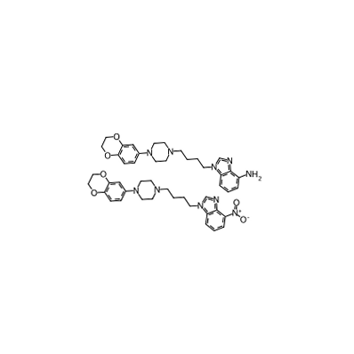 Nc1cccc2c1ncn2CCCCN1CCN(c2ccc3c(c2)OCCO3)CC1.O=[N+]([O-])c1cccc2c1ncn2CCCCN1CCN(c2ccc3c(c2)OCCO3)CC1